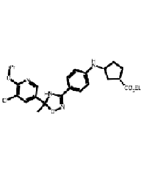 CCOC(=O)[C@@H]1CC[C@H](Nc2ccc(C3=NOC(C)(c4cnc(OC(C)C)c(Cl)c4)N3)cc2)C1